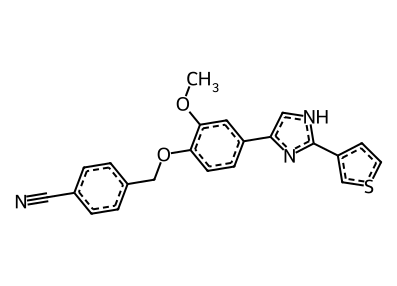 COc1cc(-c2c[nH]c(-c3ccsc3)n2)ccc1OCc1ccc(C#N)cc1